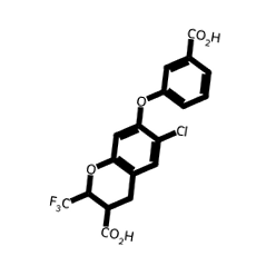 O=C(O)c1cccc(Oc2cc3c(cc2Cl)CC(C(=O)O)C(C(F)(F)F)O3)c1